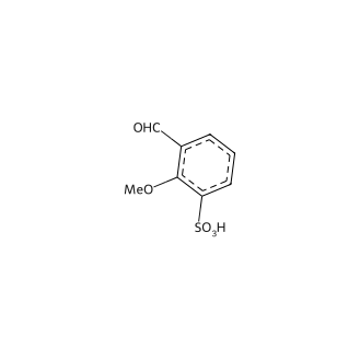 COc1c(C=O)cccc1S(=O)(=O)O